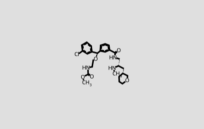 CN[C@H](CNC(=O)c1cccc([C@@H](OCCNC(=O)OC)c2cccc(Cl)c2)c1)C[C@H]1CCCOC1